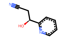 N#CC[C@H](O)c1ccccn1